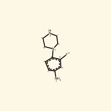 Nc1ccc(N2CCNCC2)c(F)c1